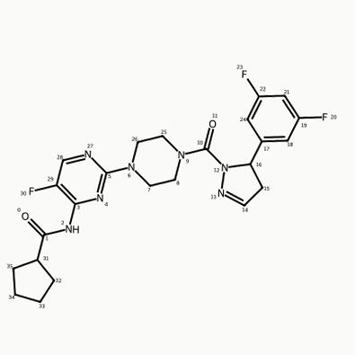 O=C(Nc1nc(N2CCN(C(=O)N3N=CCC3c3cc(F)cc(F)c3)CC2)ncc1F)C1CCCC1